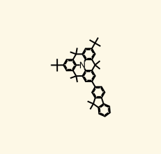 CC(C)(C)c1cc2c3c(c1)C(C)(C)c1cc(C(C)(C)C)cc4c1N3c1c(cc(-c3ccc5c(c3)C(C)(C)c3ccccc3-5)cc1C4(C)C)C2(C)C